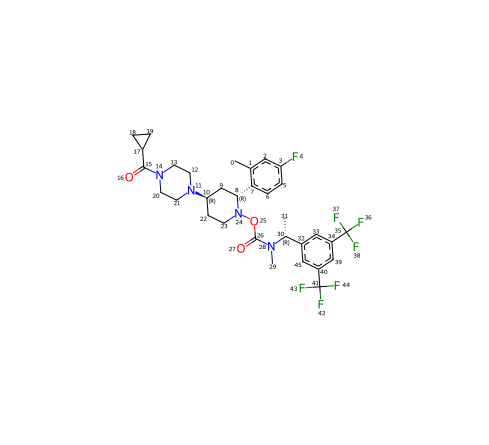 Cc1cc(F)ccc1[C@H]1C[C@H](N2CCN(C(=O)C3CC3)CC2)CCN1OC(=O)N(C)[C@H](C)c1cc(C(F)(F)F)cc(C(F)(F)F)c1